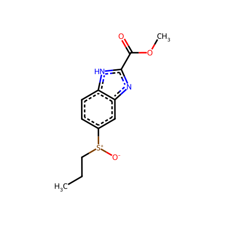 CCC[S+]([O-])c1ccc2[nH]c(C(=O)OC)nc2c1